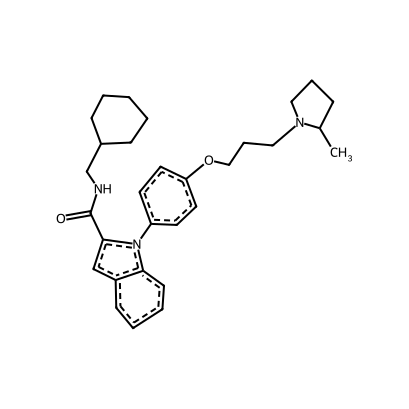 CC1CCCN1CCCOc1ccc(-n2c(C(=O)NCC3CCCCC3)cc3ccccc32)cc1